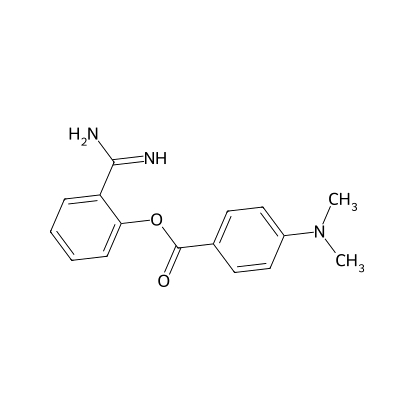 CN(C)c1ccc(C(=O)Oc2ccccc2C(=N)N)cc1